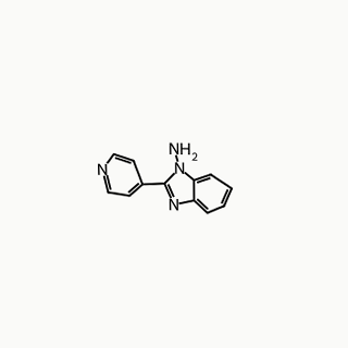 Nn1c(-c2ccncc2)nc2ccccc21